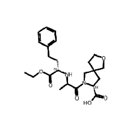 CCOC(=O)[C@H](CCc1ccccc1)NC(C)C(=O)N1CC2(CCOC2)C[C@H]1C(=O)O